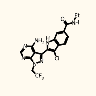 CCNC(=O)c1ccc2c(Cl)c(-c3nn(CC(F)(F)F)c4ncnc(N)c34)[nH]c2c1